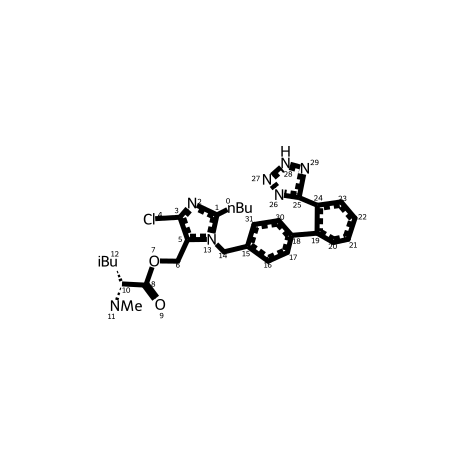 CCCCc1nc(Cl)c(COC(=O)[C@H](NC)[C@@H](C)CC)n1Cc1ccc(-c2ccccc2-c2nn[nH]n2)cc1